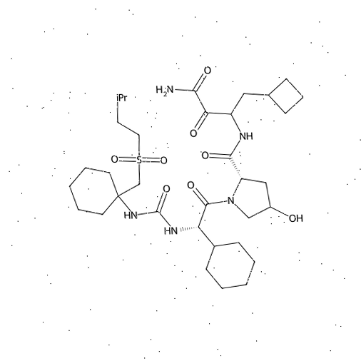 CC(C)CCS(=O)(=O)CC1(NC(=O)N[C@H](C(=O)N2CC(O)C[C@H]2C(=O)NC(CC2CCC2)C(=O)C(N)=O)C2CCCCC2)CCCCC1